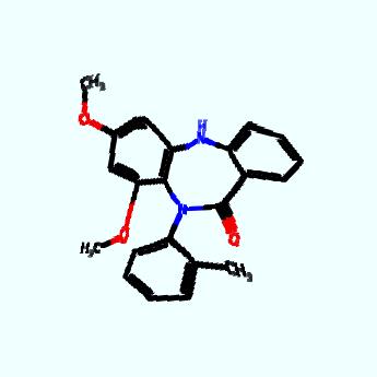 COc1cc2c(c(OC)c1)N(c1ccccc1C)C(=O)c1ccccc1N2